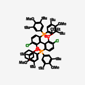 CCOC(=O)COc1c(Cl)ccc(P(=O)(c2cc(C(C)(C)C)c(OC)c(C(C)(C)C)c2)c2cc(C(C)(C)C)c(OC)c(C(C)(C)C)c2)c1-c1c(P(=O)(c2cc(C(C)(C)C)c(OC)c(C(C)(C)C)c2)c2cc(C(C)(C)C)c(OC)c(C(C)(C)C)c2)ccc(Cl)c1OC1CCCCC1